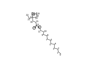 CCCCCCCCCCCCOC(=O)CCC(P)(CC)CC